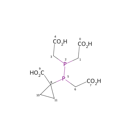 O=C(O)CP(CC(=O)O)P(CC(=O)O)C1(C(=O)O)CC1